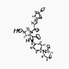 O=C(Nc1ccc(N2CCOCC2=O)cc1)[C@H]1C[C@@H](O)CN1C(=O)C=Cc1ccc(Cl)s1